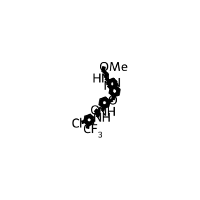 COCCNc1cnc2ccc(Oc3cccc(NC(=O)Nc4ccc(Cl)c(C(F)(F)F)c4)c3)cc2n1